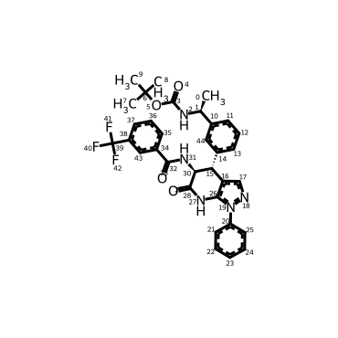 C[C@H](NC(=O)OC(C)(C)C)c1cccc([C@@H]2c3cnn(-c4ccccc4)c3NC(=O)[C@H]2NC(=O)c2cccc(C(F)(F)F)c2)c1